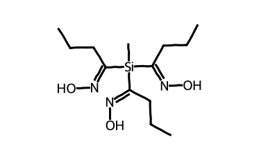 CCCC(=NO)[Si](C)(C(CCC)=NO)C(CCC)=NO